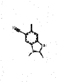 Cc1cc2c(cc1C#N)N(C)C(C)N2